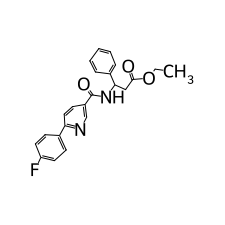 CCOC(=O)CC(NC(=O)c1ccc(-c2ccc(F)cc2)nc1)c1ccccc1